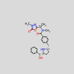 C[C@H](c1nn(C)c(=O)o1)N(C)C(=O)c1ccc(C[C@@H]2CC[C@H](C(O)c3ccccc3)N2)cc1